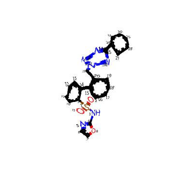 O=S(=O)(Nc1ncco1)c1ccccc1-c1ccccc1Cn1nnc(-c2ccccc2)n1